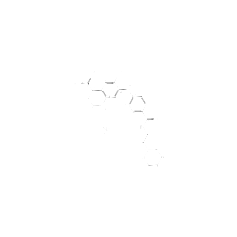 O=C(NCCC1CCCCC1)c1ccc(Oc2cc3c(cc2Cl)C(C(=O)[O-])CCO3)cc1.[Na+]